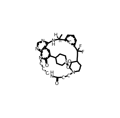 C[C@H]1Nc2ncnc3c2cc(C2CCS(=O)(=O)CC2)c(=O)n3CCCNC(=O)CCN2CCC(CC2)C(F)(F)c2cccc1c2